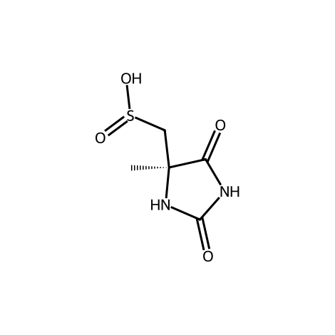 C[C@@]1(CS(=O)O)NC(=O)NC1=O